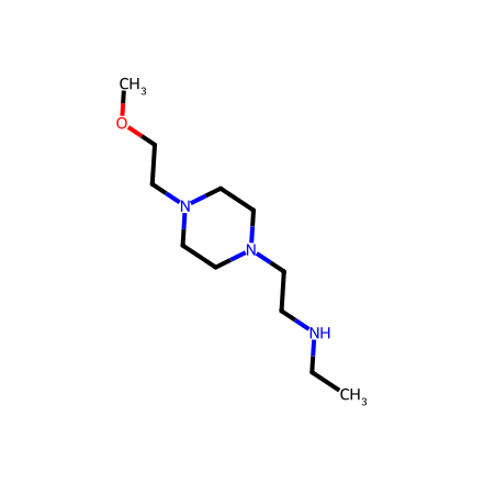 CCNCCN1CCN(CCOC)CC1